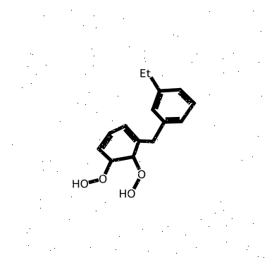 CCc1cccc(CC2=CC=CC(OO)C2OO)c1